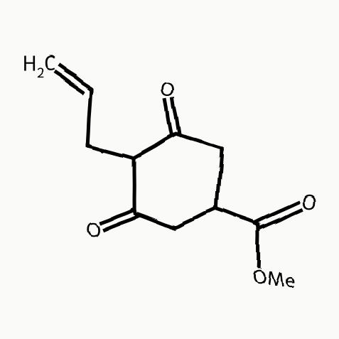 C=CCC1C(=O)CC(C(=O)OC)CC1=O